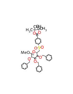 CO[C@H]1OC(CS(=O)(=O)c2ccc(B3OC(C)(C)C(C)(C)O3)cc2)[C@@H](OCc2ccccc2)[C@@H](OCc2ccccc2)C1OCc1ccccc1